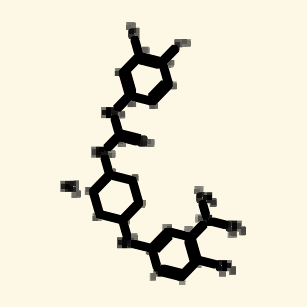 Cc1cnc(NC2CCC(NC(=O)Nc3ccc(F)c(Cl)c3)CC2)cc1N(C)C.Cl